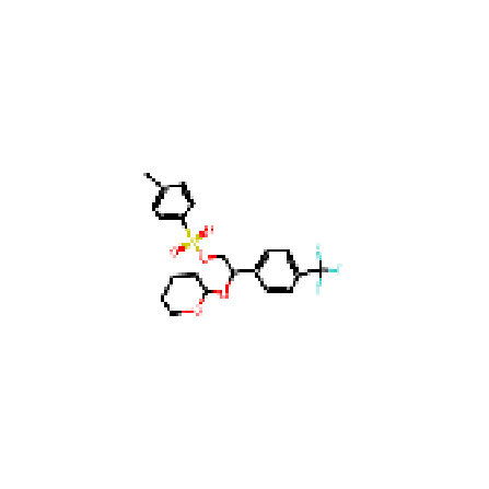 Cc1ccc(S(=O)(=O)OCC(OC2CCCCO2)c2ccc(C(F)(F)F)cc2)cc1